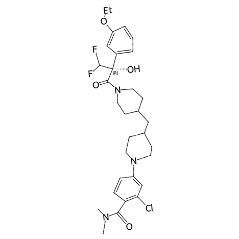 CCOc1cccc([C@@](O)(C(=O)N2CCC(CC3CCN(c4ccc(C(=O)N(C)C)c(Cl)c4)CC3)CC2)C(F)F)c1